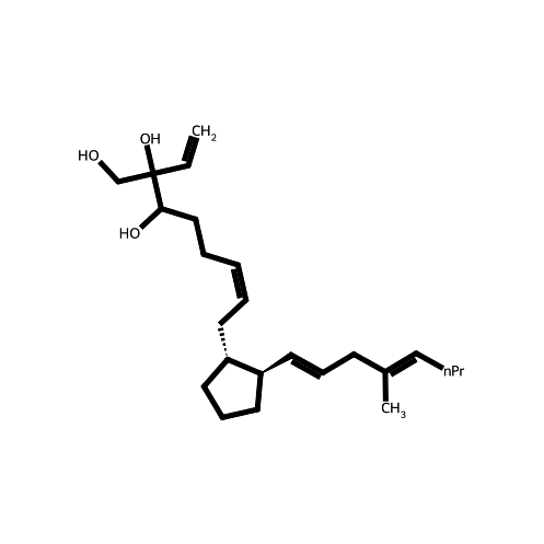 C=CC(O)(CO)C(O)CC/C=C\C[C@H]1CCC[C@@H]1/C=C/C/C(C)=C/CCC